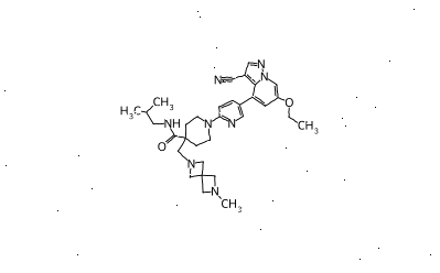 CCOc1cc(-c2ccc(N3CCC(CN4CC5(CN(C)C5)C4)(C(=O)NCC(C)C)CC3)nc2)c2c(C#N)cnn2c1